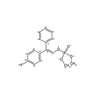 COP(=O)(OC)O/C=C(\c1ccccc1)c1ccc(F)cc1